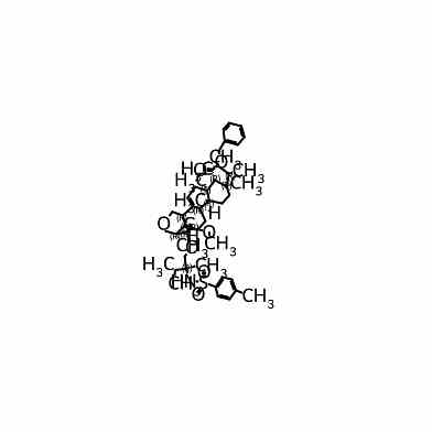 CO[C@@H]1C[C@@]23COC[C@@](C)([C@@H]2CC[C@H]2C3=CC[C@@]3(C)[C@H](C(=O)OCc4ccccc4)[C@@](C)([C@H](C)C(C)C)CC[C@]23C)[C@H]1OC[C@](C)(NS(=O)(=O)c1ccc(C)cc1)C(C)C